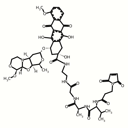 COc1cccc2c1C(=O)c1c(O)c3c(c(O)c1C2=O)C[C@@](O)(C(=O)NCCNC(=O)CNC(=O)[C@H](C)NC(=O)[C@@H](NC(=O)CCN1C(=O)C=CC1=O)C(C)C)C[C@@H]3O[C@H]1C[C@H]2[C@H](O[C@@H]3[C@@H](OC)OCCN32)[C@H](C)O1